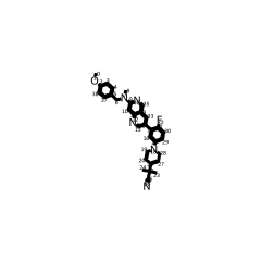 COc1ccc(CN(C)c2cc3ncc(-c4cc(N5C=CC(C(C)(C)C#N)=CC5)ccc4F)cc3cn2)cc1